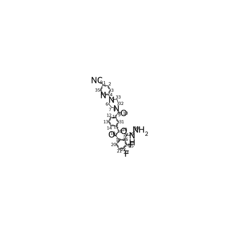 N#Cc1ccc(N2CCN(C(=O)c3cccc(CC(=O)c4ccc(F)c(F)c4C(=O)NN)c3)CC2)nc1